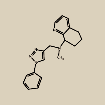 CN(Cc1cn(-c2ccccc2)nn1)C1CCCc2cccnc21